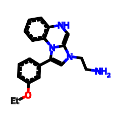 CCOc1cccc(C2=CN(CCN)C3=CNc4ccccc4N23)c1